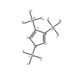 C[Si](C)(C)[C]1C=C([Si](C)(C)C)C([Si](C)(C)C)=C1